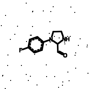 O=CC1NCCN1c1ccc(F)cc1